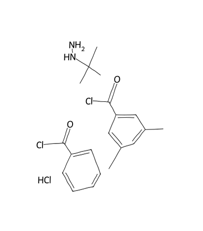 CC(C)(C)NN.Cc1cc(C)cc(C(=O)Cl)c1.Cl.O=C(Cl)c1ccccc1